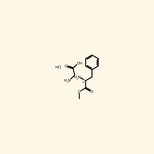 COC(=O)[C@@H](N)Cc1ccccc1.Cl.NCC(=O)O